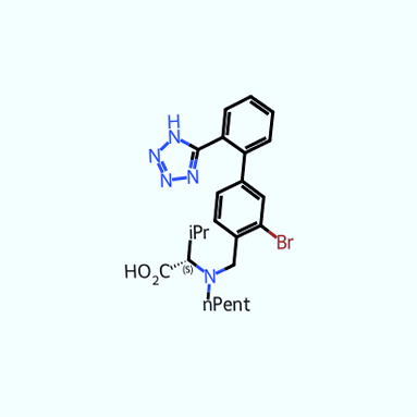 CCCCCN(Cc1ccc(-c2ccccc2-c2nnn[nH]2)cc1Br)[C@H](C(=O)O)C(C)C